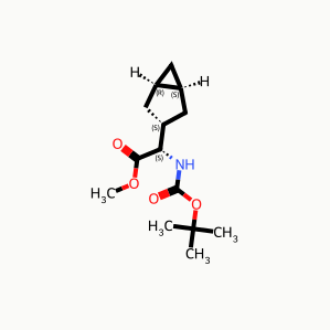 COC(=O)[C@@H](NC(=O)OC(C)(C)C)[C@@H]1C[C@H]2C[C@H]2C1